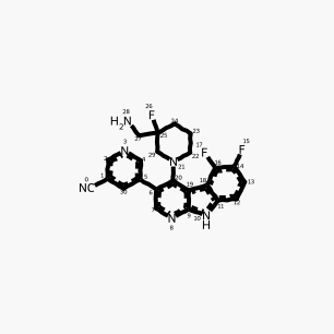 N#Cc1cncc(-c2cnc3[nH]c4ccc(F)c(F)c4c3c2N2CCCC(F)(CN)C2)c1